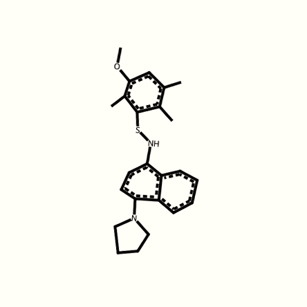 COc1cc(C)c(C)c(SNc2ccc(N3CCCC3)c3ccccc23)c1C